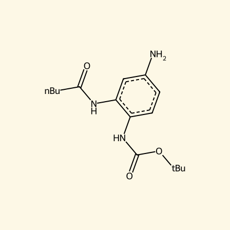 CCCCC(=O)Nc1cc(N)ccc1NC(=O)OC(C)(C)C